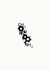 Cc1ccc(S(=O)(=O)c2ccc3c(c2)CCCC3CN)cc1